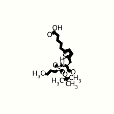 CCCCS(=O)(=O)N[C@@H](Cc1ccc(CCCCC(=O)O)s1)C(=O)OC(C)(C)C